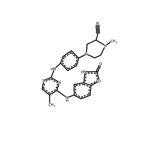 Cc1cnc(Nc2ccc(N3CCN(C)C(C#N)C3)cc2)nc1Nc1ccc2oc(=O)[nH]c2c1